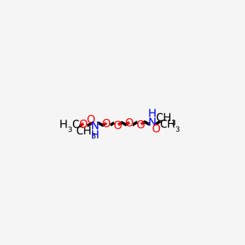 CC(C)OCC(=O)NCCOCCOCCOCCOCCNC(=O)C(C)C